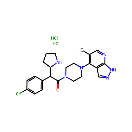 Cc1cnc2[nH]ncc2c1N1CCN(C(=O)C(c2ccc(Cl)cc2)C2CCCN2)CC1.Cl.Cl